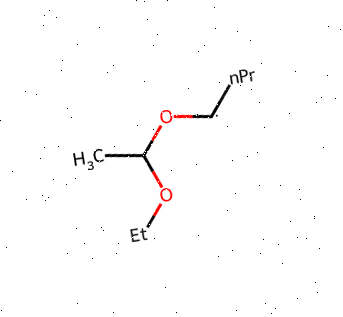 CCC[CH]OC(C)OCC